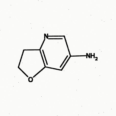 Nc1cnc2c(c1)OCC2